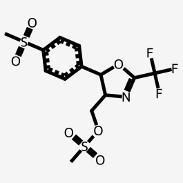 CS(=O)(=O)OCC1N=C(C(F)(F)F)OC1c1ccc(S(C)(=O)=O)cc1